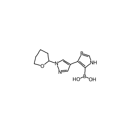 OB(O)c1[nH]cbc1-c1cnn(C2CCCCO2)c1